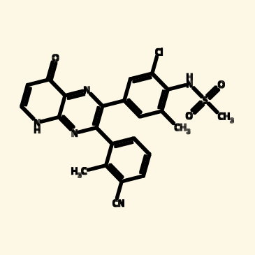 Cc1cc(-c2nc3c(=O)cc[nH]c3nc2-c2cccc(C#N)c2C)cc(Cl)c1NS(C)(=O)=O